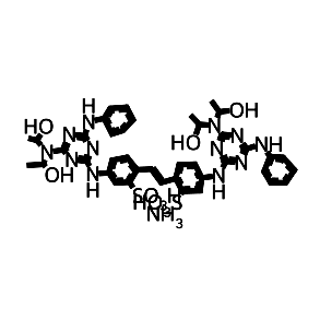 CC(O)N(c1nc(Nc2ccccc2)nc(Nc2ccc(C=Cc3ccc(Nc4nc(Nc5ccccc5)nc(N(C(C)O)C(C)O)n4)cc3S(=O)(=O)O)c(S(=O)(=O)O)c2)n1)C(C)O.N